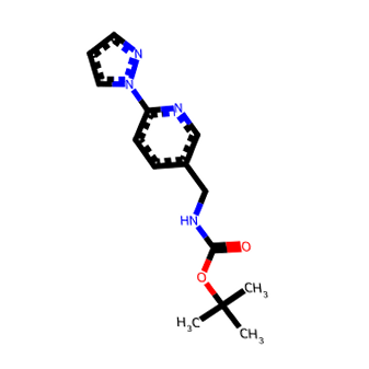 CC(C)(C)OC(=O)NCc1ccc(-n2cccn2)nc1